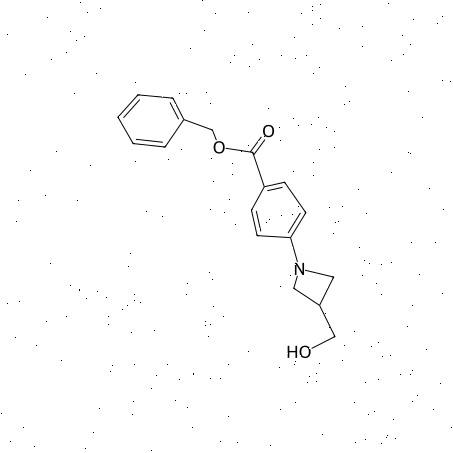 O=C(OCc1ccccc1)c1ccc(N2CC(CO)C2)cc1